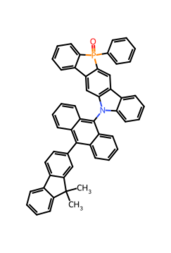 CC1(C)c2ccccc2-c2ccc(-c3c4ccccc4c(-n4c5ccccc5c5cc6c(cc54)-c4ccccc4P6(=O)c4ccccc4)c4ccccc34)cc21